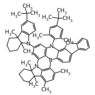 Cc1cc(C)c2c3c1B1c4ccc5c(oc6ccccc65)c4N(c4c(C)cc(C(C)(C)C)cc4C)c4cc(N5c6ccc(C(C)(C)C)cc6C6(C)CCCCC56C)cc(c41)N3C1(C)CCCCC21C